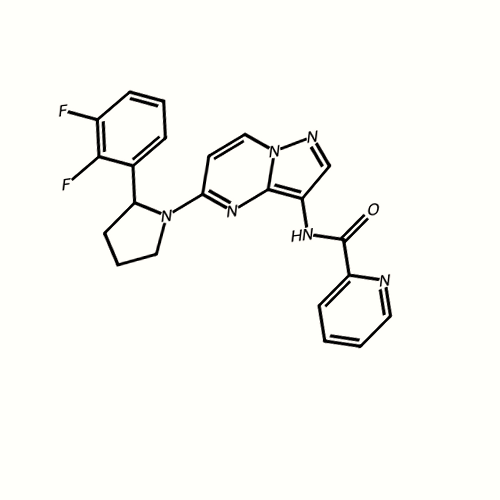 O=C(Nc1cnn2ccc(N3CCCC3c3cccc(F)c3F)nc12)c1ccccn1